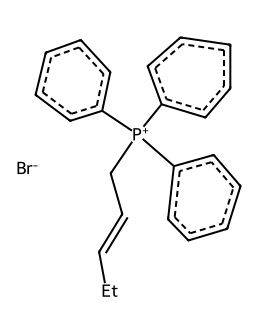 CCC=CC[P+](c1ccccc1)(c1ccccc1)c1ccccc1.[Br-]